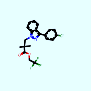 CC(C)(Cn1nc(-c2ccc(Cl)cc2)c2ccccc21)C(=O)OCC(F)(F)F